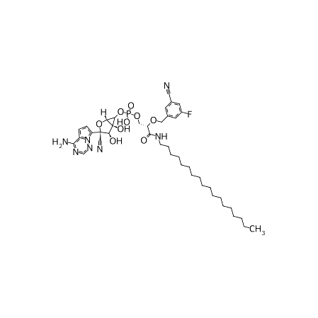 CCCCCCCCCCCCCCCCCCNC(=O)[C@H](COP(=O)(O)OC1[C@H]2O[C@@](C#N)(c3ccc4c(N)ncnn34)[C@H](O)[C@@]12O)OCc1cc(F)cc(C#N)c1